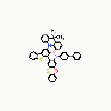 CC1(C)c2ccccc2N2c3cc4c(sc5ccccc54)c4c3B(c3cccc1c32)N(c1ccc(-c2ccccc2)cc1)c1cc2c(cc1-4)Sc1ccccc1O2